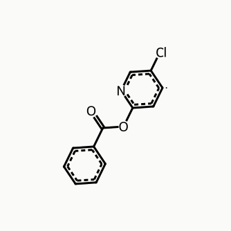 O=C(Oc1c[c]c(Cl)cn1)c1ccccc1